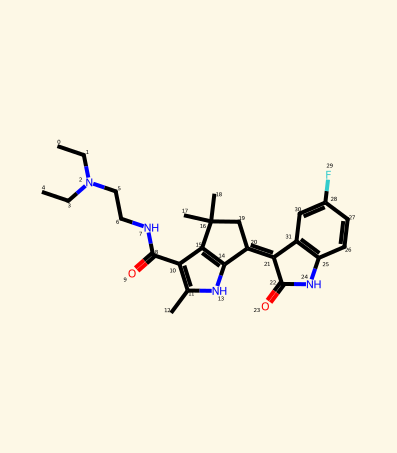 CCN(CC)CCNC(=O)c1c(C)[nH]c2c1C(C)(C)C/C2=C1/C(=O)Nc2ccc(F)cc21